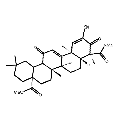 CNC(=O)[C@]1(C)C(=O)C(C#N)=C[C@]2(C)C3=CC(=O)C4C5CC(C)(C)CC[C@]5(C(=O)OC)CC[C@@]4(C)[C@]3(C)CC[C@@H]12